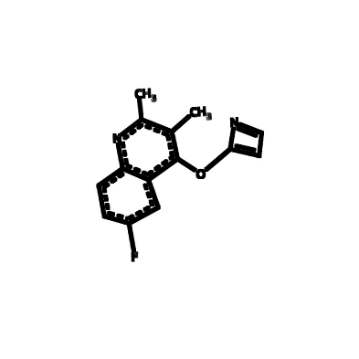 Cc1nc2ccc(F)cc2c(OC2=CC=N2)c1C